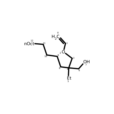 C=COCC(CC)(CO)CCCCCCCCCCCC